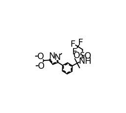 COC(OC)c1cc(-c2cccc(C(C)(C)NS(=O)(=O)CC(F)(F)F)c2)n(C)n1